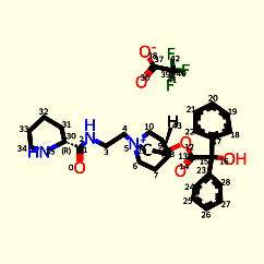 O=C(NCC[N+]12CCC(CC1)[C@@H](OC(=O)C(O)(c1ccccc1)c1ccccc1)C2)[C@H]1CCCCN1.O=C([O-])C(F)(F)F